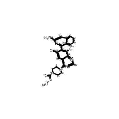 CC(C)(C)OC(=O)N1CCN(c2ncnc3c(F)c(-c4nc(N)cc5cccc(F)c45)c(Cl)cc23)CC1